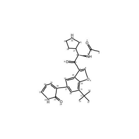 CC(=O)N[C@@H](C(=O)c1coc2c(C(C)(C)C)cc(-c3ccc[nH]c3=O)cc12)C1CCNC1